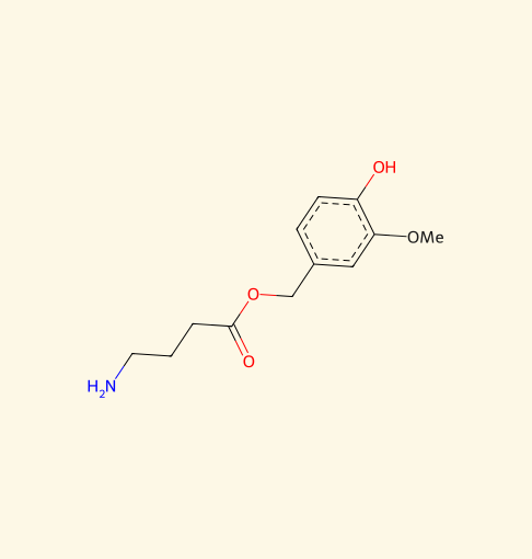 COc1cc(COC(=O)CCCN)ccc1O